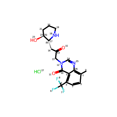 Cc1ccc(C(F)(F)F)c2c(=O)n(CC(=O)C[C@H]3NCCC[C@@H]3O)cnc12.Cl